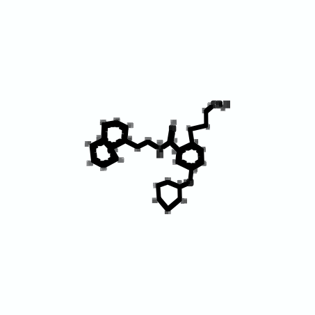 O=C(O)CCCc1ccc(OC2CCCCC2)cc1C(=O)NCCc1cccc2ccccc12